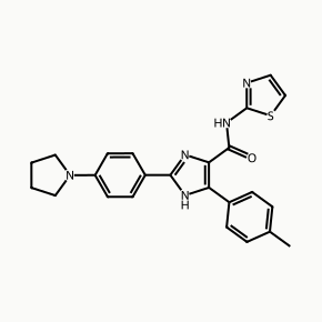 Cc1ccc(-c2[nH]c(-c3ccc(N4CCCC4)cc3)nc2C(=O)Nc2nccs2)cc1